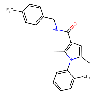 Cc1cc(C(=O)NCc2ccc(C(F)(F)F)cc2)c(C)n1-c1ccccc1C(F)(F)F